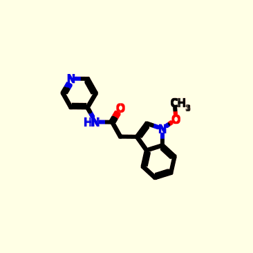 COn1cc(CC(=O)Nc2ccncc2)c2ccccc21